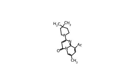 CC(=O)c1cc(C)cn2c(=O)cc(N3CCC(C)(C)CC3)nc12